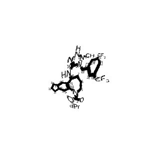 CC(C)OC(=O)N1CCCC(NC2=NNN(C)N2Cc2cc(C(F)(F)F)cc(C(F)(F)F)c2)c2cc3c(cc21)CCC3